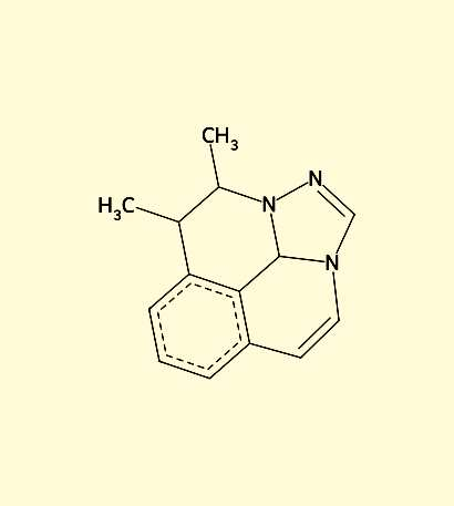 CC1c2cccc3c2C2N(C=C3)C=NN2C1C